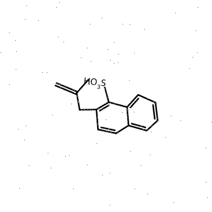 C=C(C)Cc1ccc2ccccc2c1S(=O)(=O)O